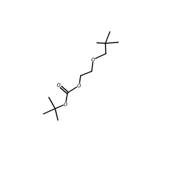 CC(C)(C)COCCOC(=O)OC(C)(C)C